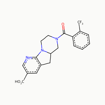 O=C(O)c1cnc2c(c1)CC1CN(C(=O)c3ccccc3C(F)(F)F)CCN21